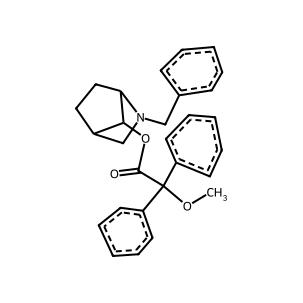 COC(C(=O)OC1C2CCC1N(Cc1ccccc1)C2)(c1ccccc1)c1ccccc1